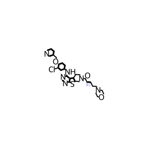 O=C(/C=C/CCN1CCOCC1)N1CCc2c(sc3ncnc(Nc4ccc(OCc5cccnc5)c(Cl)c4)c23)C1